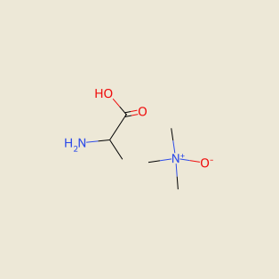 CC(N)C(=O)O.C[N+](C)(C)[O-]